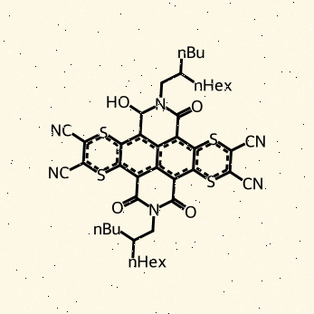 CCCCCCC(CCCC)CN1C(=O)c2c3sc(C#N)c(C#N)sc3c3c4c(c5sc(C#N)c(C#N)sc5c(c24)C1=O)C(O)N(CC(CCCC)CCCCCC)C3=O